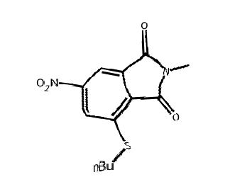 CCCCSc1cc([N+](=O)[O-])cc2c1C(=O)N(C)C2=O